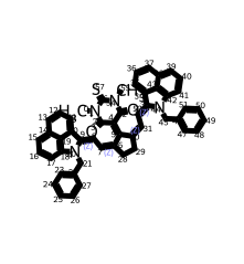 CN1C(=O)C(=C2/C(=C\C=c3\c4cccc5cccc(c54)n3Cc3ccccc3)CC/C2=C/C=c2/c3cccc4cccc(c43)n2Cc2ccccc2)C(=O)N(C)C1=S